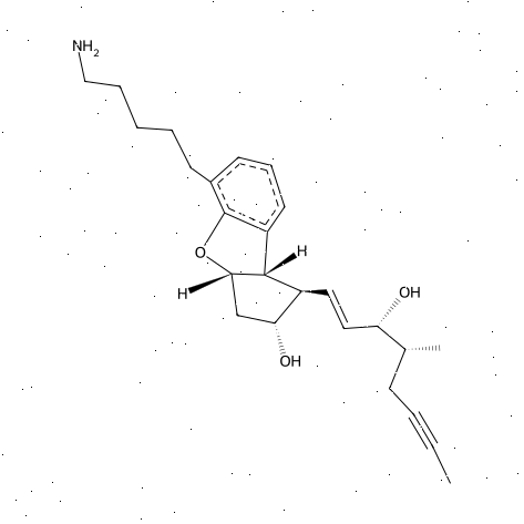 CC#CC[C@@H](C)[C@@H](O)/C=C/[C@@H]1[C@H]2c3cccc(CCCCCN)c3O[C@H]2C[C@H]1O